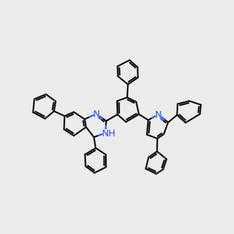 c1ccc(-c2cc(C3=Nc4cc(-c5ccccc5)ccc4C(c4ccccc4)N3)cc(-c3cc(-c4ccccc4)cc(-c4ccccc4)n3)c2)cc1